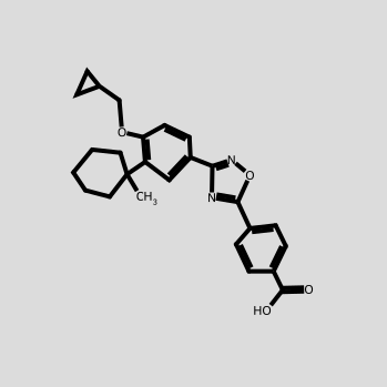 CC1(c2cc(-c3noc(-c4ccc(C(=O)O)cc4)n3)ccc2OCC2CC2)CCCCC1